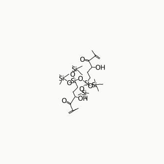 C=C(C)C(=O)C(O)CC[Si](O[Si](C)(C)C)(O[Si](C)(C)C)O[Si](CCC(O)C(=O)C(=C)C)(O[Si](C)(C)C)O[Si](C)(C)C